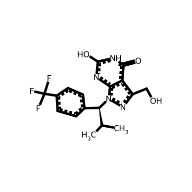 CC(C)[C@@H](c1ccc(C(F)(F)F)cc1)n1nc(CO)c2c(=O)[nH]c(O)nc21